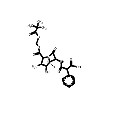 CC1C(O)[C@@H]2C(NC(=O)C(C(=O)O)c3ccccc3)C(=O)N2C1C(=O)OCOC(=O)C(C)(C)C